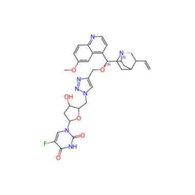 C=CC1C[N@@]2CCC1CC2[C@@H](OCc1cn(CC2OC(n3cc(F)c(=O)[nH]c3=O)CC2O)nn1)c1ccnc2ccc(OC)cc12